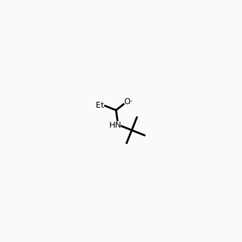 CCC([O])NC(C)(C)C